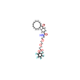 O=C(CCOCCOCCNC(=O)C1CCC(C(=O)C2CCCCCCCCCCC2)CC1)Oc1c(F)c(F)c(F)c(F)c1F